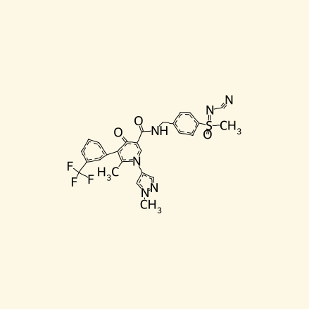 Cc1c(-c2cccc(C(F)(F)F)c2)c(=O)c(C(=O)NCc2ccc(S(C)(=O)=NC#N)cc2)cn1-c1cnn(C)c1